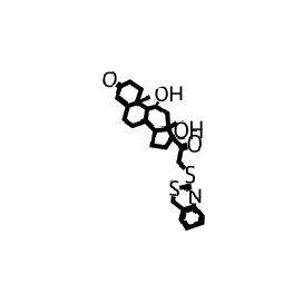 CC12CCC(=O)C=C1CCC1C2[C@@H](O)CC2(C)C1CC[C@]2(O)C(=O)CSC1=Nc2ccccc2CS1